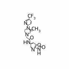 C[C@@H]1CN(CC(=O)Nc2cnc3[nH]c(=O)oc3c2)CCN1c1ccc(C(F)(F)F)cn1